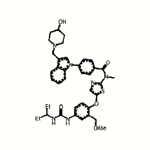 CCC(CC)NC(=O)Nc1ccc(Oc2cnc(N(C)C(=O)c3ccc(-n4cc(CN5CCC(O)CC5)c5ccccc54)cc3)s2)c(COC)c1